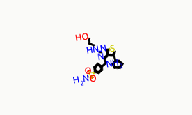 NC(c1ccc(S(N)(=O)=O)cc1)c1nc(NCCCO)nc2scc(-c3ccccc3)c12